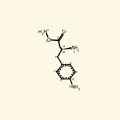 NOC(=O)[C@@H](N)Cc1ccc(N)cc1